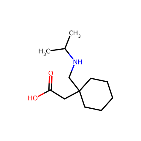 CC(C)NCC1(CC(=O)O)CCCCC1